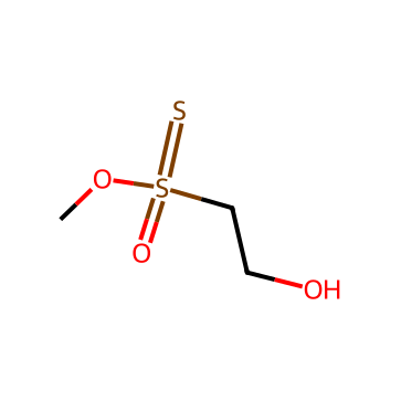 COS(=O)(=S)CCO